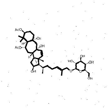 CC(=O)O[C@H]1C[C@H]2[C@]3(C)C[C@H](O)[C@H]([C@H](C)CC/C=C(\C)CO[C@@H]4O[C@H](CO)[C@@H](O)[C@H](O)[C@H]4O)[C@@]3(C)C=C[C@]2(O)C[C@]2(O)CC[C@H](OC(C)=O)C(C)(C)[C@H]12